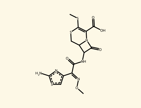 CON=C(C(=O)NC1C(=O)N2C(C(=O)O)=C(SC)SCC12)c1csc(N)n1